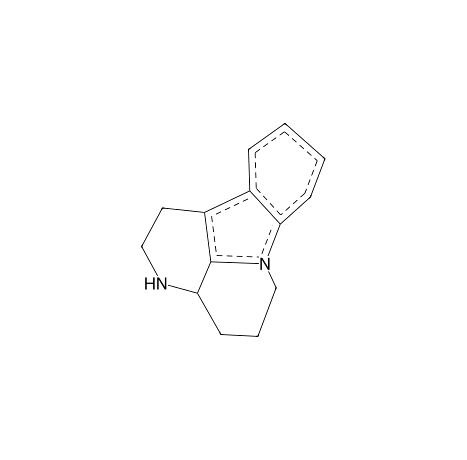 c1ccc2c(c1)c1c3n2CCCC3NCC1